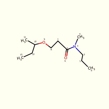 CCCN(C)C(=O)CCOC(C)CC